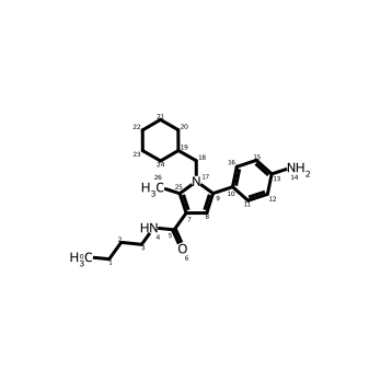 CCCCNC(=O)c1cc(-c2ccc(N)cc2)n(CC2CCCCC2)c1C